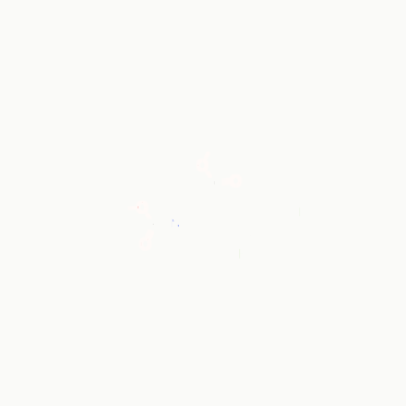 COC(=O)C1=C(c2ccc(F)cc2F)CCN(C(=O)OC(C)(C)C)C1